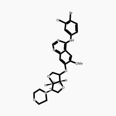 COc1cc2c(Nc3ccc(Br)c(Cl)c3)ncnc2cc1OC1CO[C@H]2[C@H](N3CCOCC3)CO[C@@H]12